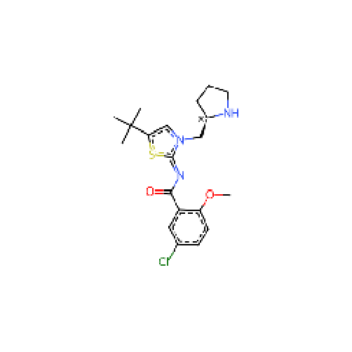 COc1ccc(Cl)cc1C(=O)N=c1sc(C(C)(C)C)cn1C[C@H]1CCCN1